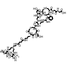 C/C(=N/O)C(C)(C)NCCN(CCNC(=O)CCC(=O)NCCCC[C@@H]1NC(=O)CSC[C@@H](C(=O)N[C@@H](CCCNC(=N)N)C(=O)NCC(=O)N[C@@H](CC(=O)O)C(=O)N[C@H]2CSSC[C@@H](C(=O)NCC(=O)NCC(=O)O)NC(=O)[C@H](Cc3ccccc3)NC2=O)NC(=O)[C@H](CC(=O)O)NC1=O)CCNC(C)(C)/C(C)=N\O